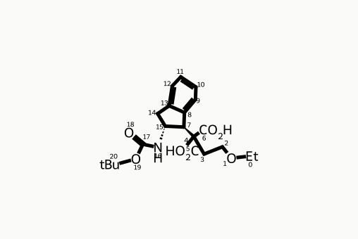 CCOCCC(C(=O)O)(C(=O)O)[C@@H]1c2ccccc2C[C@H]1NC(=O)OC(C)(C)C